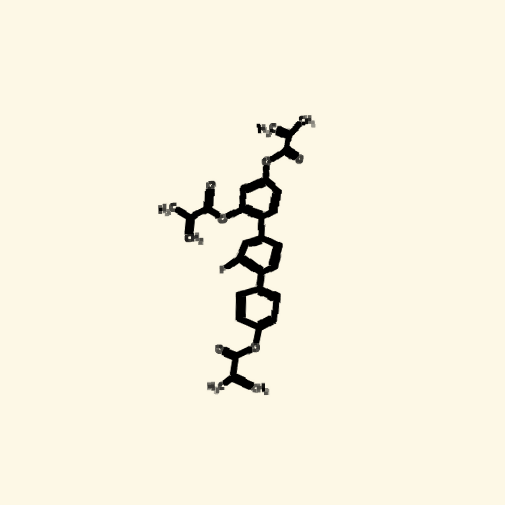 C=C(C)C(=O)Oc1ccc(-c2ccc(-c3ccc(OC(=O)C(=C)C)cc3OC(=O)C(=C)C)cc2F)cc1